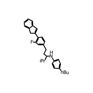 CCCCc1ccc(NC(CCc2ccc(C3=Cc4ccccc4C3)c(F)c2)C(C)C)cc1